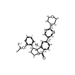 CC(F)Oc1ccccc1[C@@H]1CCN2C(=O)c3ccc(-c4cnc(N5CCOCC5)nc4)cc3[C@H]12